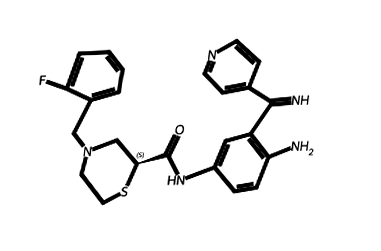 N=C(c1ccncc1)c1cc(NC(=O)[C@@H]2CN(Cc3ccccc3F)CCS2)ccc1N